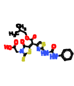 CC(C)COC(=O)C(=C1SC(=S)N(CC(=O)O)C1=O)c1csc(NC(=O)Nc2ccccc2)n1